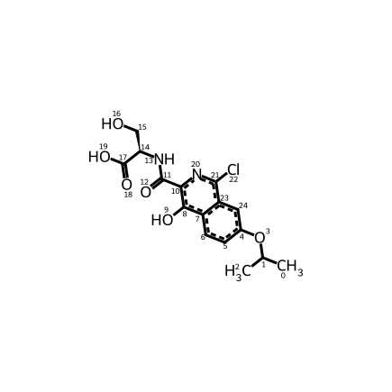 CC(C)Oc1ccc2c(O)c(C(=O)N[C@H](CO)C(=O)O)nc(Cl)c2c1